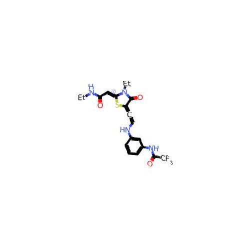 CCNC(=O)/C=c1\sc(=C=CNc2cccc(NC(=O)C(F)(F)F)c2)c(=O)n1CC